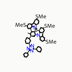 CSc1ccc2c(c1)c1cc(SC)cc3c1n2B1c2c(cc(-c4cccc(-c5nc(-c6ccccc6)nc(-c6ccccc6)n5)c4)c(C)c2-3)-n2c3ccc(SC)cc3c3cc(SC)cc1c32